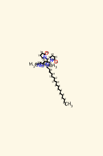 CCCCCCCCCCCCCCCCCC[N+](C)(C)C(CCCNC)(CN1CCCC1=O)CN1CCCC1=O